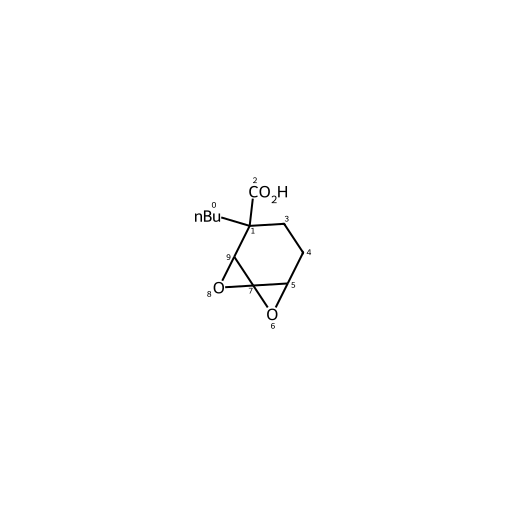 CCCCC1(C(=O)O)CCC2OC23OC13